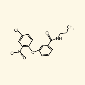 CCCNC(=O)c1cccc(Oc2ccc(Cl)cc2[N+](=O)[O-])c1